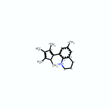 CC1=C(C)C(C)C(c2cc(C)cc3c2NCCC3)=C1C